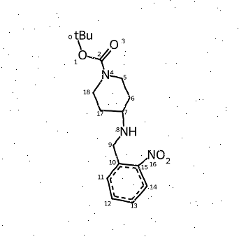 CC(C)(C)OC(=O)N1CCC(NCc2ccccc2[N+](=O)[O-])CC1